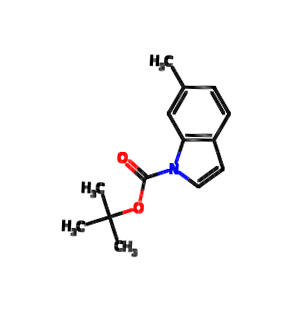 Cc1ccc2ccn(C(=O)OC(C)(C)C)c2c1